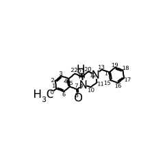 Cc1ccc2c(c1)C(=O)N1CCN(Cc3ccccc3)C[C@H]1C2